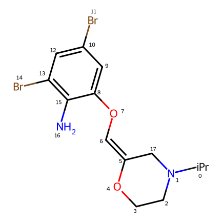 CC(C)N1CCOC(=COc2cc(Br)cc(Br)c2N)C1